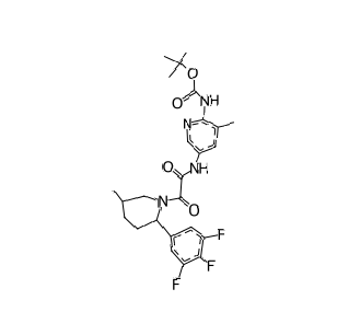 Cc1cc(NC(=O)C(=O)N2CC(C)CCC2c2cc(F)c(F)c(F)c2)cnc1NC(=O)OC(C)(C)C